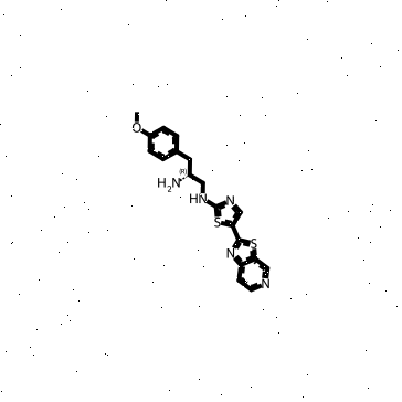 COc1ccc(C[C@@H](N)CNc2ncc(-c3nc4ccncc4s3)s2)cc1